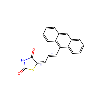 O=C1NC(=O)/C(=C\C=C\c2c3ccccc3cc3ccccc23)S1